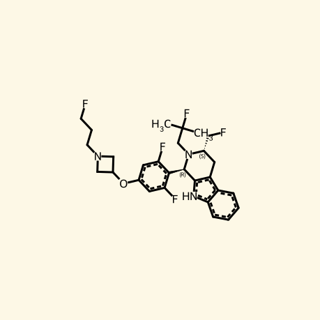 CC(C)(F)CN1[C@H](CF)Cc2c([nH]c3ccccc23)[C@H]1c1c(F)cc(OC2CN(CCCF)C2)cc1F